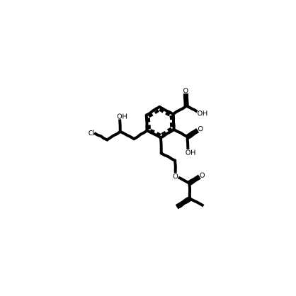 C=C(C)C(=O)OCCc1c(CC(O)CCl)ccc(C(=O)O)c1C(=O)O